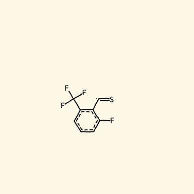 Fc1cccc(C(F)(F)F)c1[C]=S